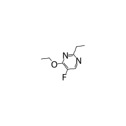 CCOc1nc(CC)ncc1F